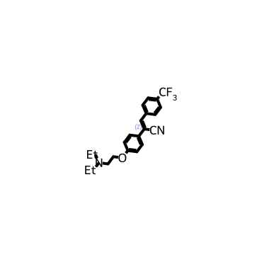 CCN(CC)CCOc1ccc(/C(C#N)=C/c2ccc(C(F)(F)F)cc2)cc1